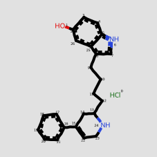 Cl.Oc1ccc2[nH]cc(CCCCC3CC(c4ccccc4)=CCN3)c2c1